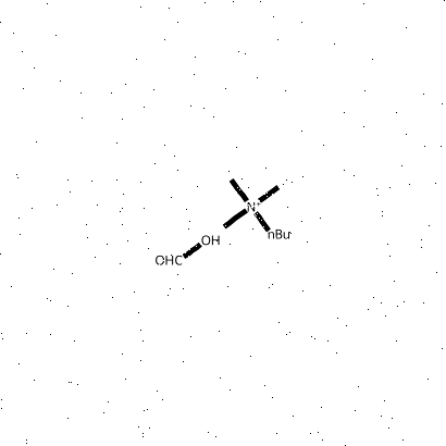 CCCC[N+](C)(C)C.O=CO